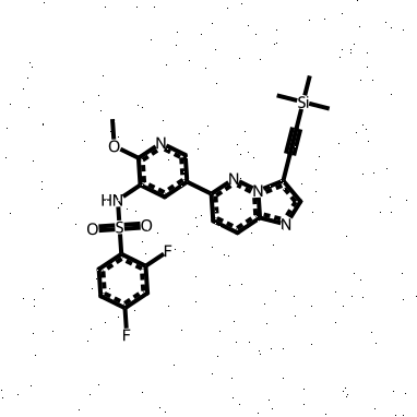 COc1ncc(-c2ccc3ncc(C#C[Si](C)(C)C)n3n2)cc1NS(=O)(=O)c1ccc(F)cc1F